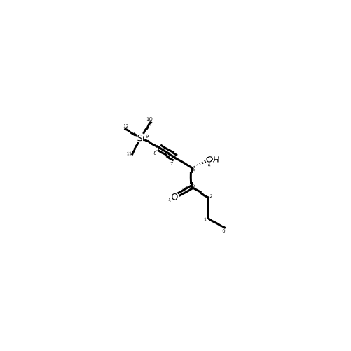 CCCC(=O)[C@@H](O)C#C[Si](C)(C)C